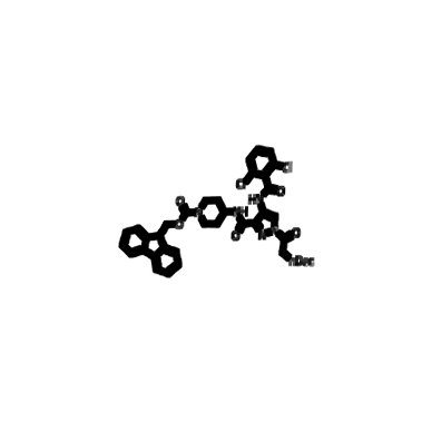 CCCCCCCCCCCC(=O)n1cc(NC(=O)c2c(Cl)cccc2Cl)c(C(=O)NC2CCN(C(=O)OCC3c4ccccc4-c4ccccc43)CC2)n1